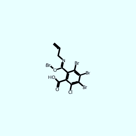 C=CCN=C(OBr)c1c(Br)c(Br)c(Br)c(Cl)c1C(=O)O